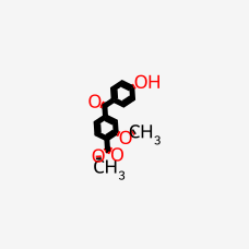 COC(=O)c1ccc(C(=O)c2ccc(O)cc2)cc1OC